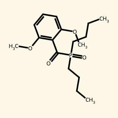 CCCCP(=O)(CCCC)C(=O)c1c(OC)cccc1OC